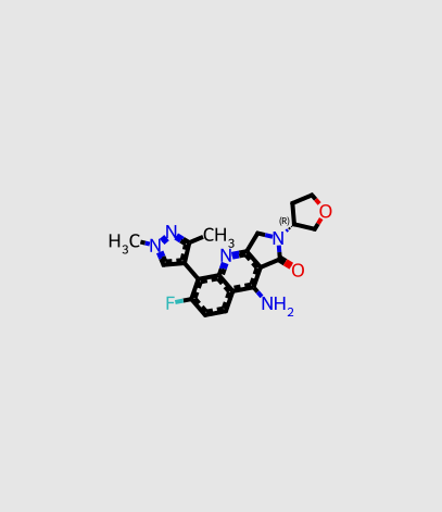 Cc1nn(C)cc1-c1c(F)ccc2c(N)c3c(nc12)CN([C@@H]1CCOC1)C3=O